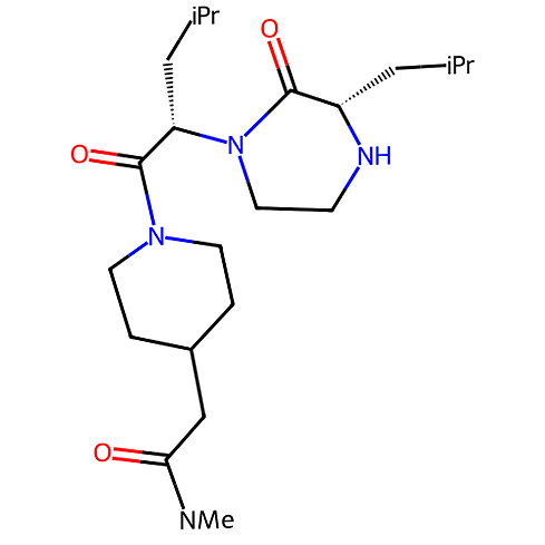 CNC(=O)CC1CCN(C(=O)[C@H](CC(C)C)N2CCN[C@@H](CC(C)C)C2=O)CC1